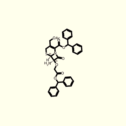 CC(=O)OCC1=C(C(=O)OC(c2ccccc2)c2ccccc2)N2C(=O)[C@@](N)(OCC(=O)OC(c3ccccc3)c3ccccc3)[C@H]2SC1